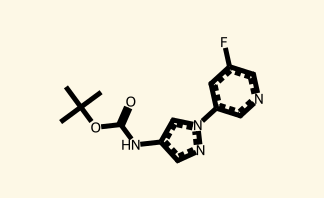 CC(C)(C)OC(=O)Nc1cnn(-c2cncc(F)c2)c1